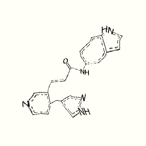 O=C(/C=C/c1cnccc1-c1cn[nH]c1)Nc1ccc2[nH]ccc2c1